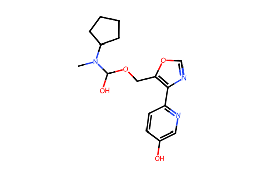 CN(C1CCCC1)C(O)OCc1ocnc1-c1ccc(O)cn1